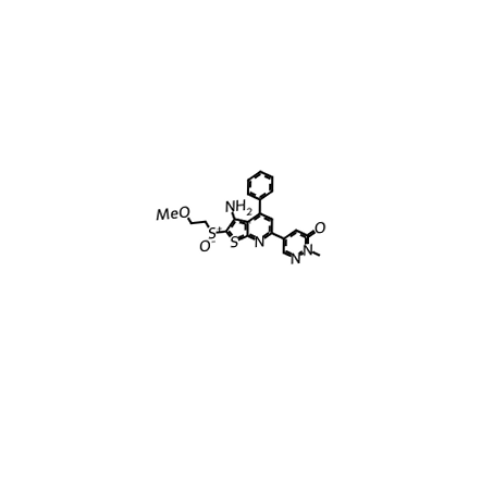 COCC[S+]([O-])c1sc2nc(-c3cnn(C)c(=O)c3)cc(-c3ccccc3)c2c1N